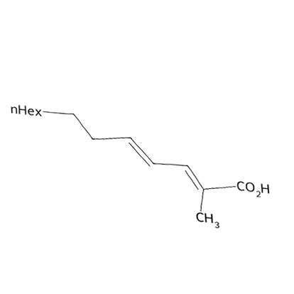 CCCCCCCCC=CC=C(C)C(=O)O